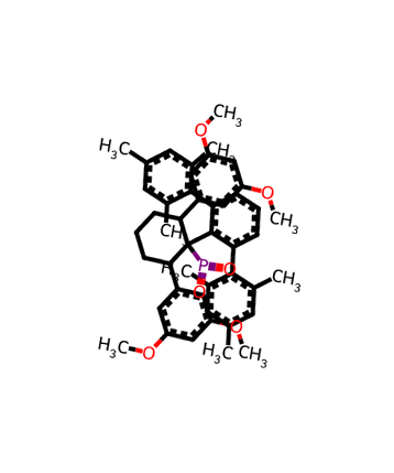 COc1cc(OC)cc(C2CCCC(c3cc(OC)cc(OC)c3)C2(c2c(-c3c(C)cc(C)cc3C)cccc2-c2c(C)cc(C)cc2C)P(=O)=O)c1